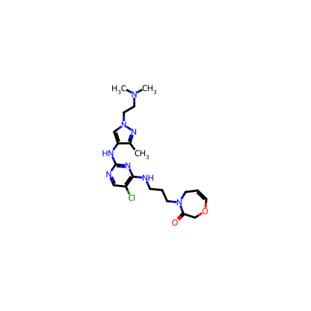 Cc1nn(CCN(C)C)cc1Nc1ncc(Cl)c(NCCCN2CC=COCC2=O)n1